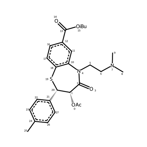 CC(=O)O[C@H]1C(=O)N(CCN(C)C)c2cc(C(=O)OCC(C)C)ccc2S[C@H]1c1ccc(C)cc1